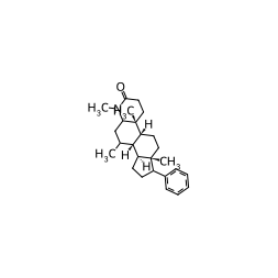 CC1CC2N(C)C(=O)CC[C@]2(C)[C@@H]2CC[C@]3(C)C(c4ccccc4)CC[C@H]3[C@H]12